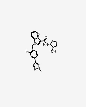 Cn1cc(-c2ccc(Cn3cc(C(=O)N[C@@H]4CCC[C@H]4O)c4ncccc43)c(F)c2)cn1